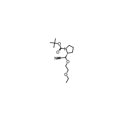 CCOCCOC(C#N)[C@@H]1CCCN1C(=O)OC(C)(C)C